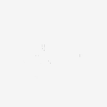 Fc1cc(Br)cc(C2=NC(CCl)(CCl)ON2)c1